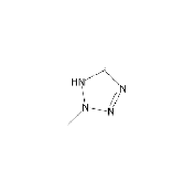 CN1N=N[CH]N1